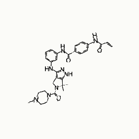 C=CC(=O)Nc1ccc(C(=O)Nc2cccc(Nc3n[nH]c4c3CN(C(=O)N3CCN(C)CC3)C4(C)C)c2)cc1